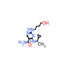 C[C@@H](Nc1nc(NCCCCO)ncc1C(N)=O)C1CC1